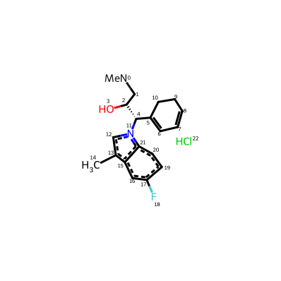 CNCC(O)[C@H](C1=CC=CCC1)n1cc(C)c2cc(F)ccc21.Cl